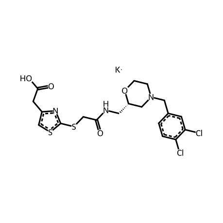 O=C(O)Cc1csc(SCC(=O)NC[C@H]2CN(Cc3ccc(Cl)c(Cl)c3)CCO2)n1.[K]